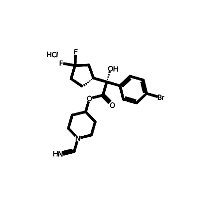 Cl.N=CN1CCC(OC(=O)[C@](O)(c2ccc(Br)cc2)[C@@H]2CCC(F)(F)C2)CC1